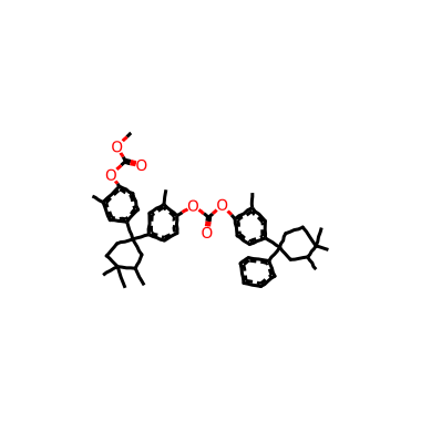 COC(=O)Oc1ccc(C2(c3ccc(OC(=O)Oc4ccc(C5(c6ccccc6)CCC(C)(C)C(C)C5)cc4C)c(C)c3)CCC(C)(C)C(C)C2)cc1C